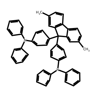 Cc1ccc2c(c1)C(c1ccc(N(c3ccccc3)c3ccccc3)cc1)(c1ccc(N(c3ccccc3)c3ccccc3)cc1)c1cc(C)ccc1-2